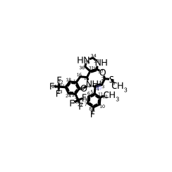 CSC1/C=C(/c2ccc(F)cc2C)[NH+]([O-])C(Cc2cc(C(F)(F)F)cc(C(F)(F)F)c2)C2=C(NCNC2)O1